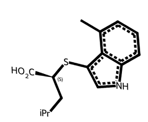 Cc1cccc2[nH]cc(S[C@@H](CC(C)C)C(=O)O)c12